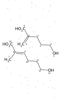 C=C(CCCO)C(=O)O.CC(=CCCCO)C(=O)O